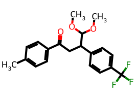 COC(OC)C(CC(=O)c1ccc(C)cc1)c1ccc(C(F)(F)F)cc1